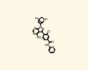 Nc1ncnc2c1c(-c1ccc(C(=O)Nc3ccccn3)cc1Cl)nn2C1C[C@@H]2CNC1C2